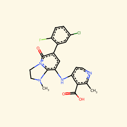 Cc1nccc(Nc2cc(-c3cc(Cl)ccc3F)c(=O)n3c2N(C)CC3)c1C(=O)O